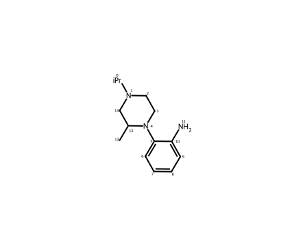 CC(C)N1CCN(c2ccccc2N)C(C)C1